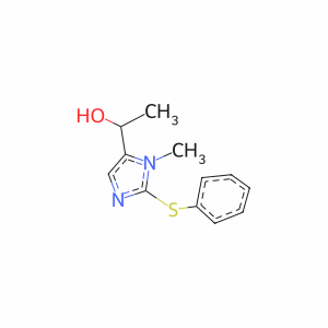 CC(O)c1cnc(Sc2ccccc2)n1C